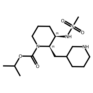 CC(C)OC(=O)N1CCC[C@@H](NS(C)(=O)=O)[C@H]1CC1CCCNC1